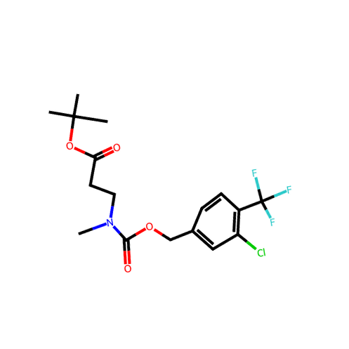 CN(CCC(=O)OC(C)(C)C)C(=O)OCc1ccc(C(F)(F)F)c(Cl)c1